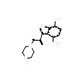 Bc1ccc(OC)c2c(C(=O)C(=O)N3CCNCC3)c[nH]c12